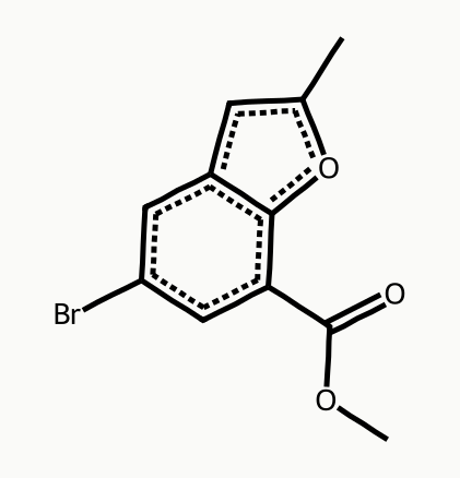 COC(=O)c1cc(Br)cc2cc(C)oc12